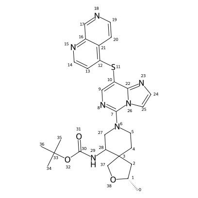 C[C@H]1CC2(CCN(c3ncc(Sc4ccnc5cnccc45)c4nccn34)CC2NC(=O)OC(C)(C)C)CO1